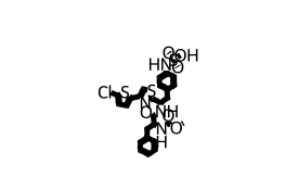 COC(=O)NC(Cc1ccccc1)C(=O)NC(Cc1ccc(NS(=O)(=O)O)cc1)c1nc(-c2ccc(Cl)s2)cs1